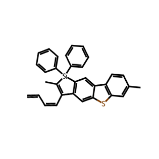 C=C/C=C\C1=C(C)[Si](c2ccccc2)(c2ccccc2)c2cc3c(cc21)sc1cc(C)ccc13